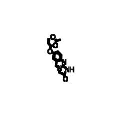 C=CC(OC(C)=O)Oc1ccc2c(c1)CN1CC(=O)NC1=N2